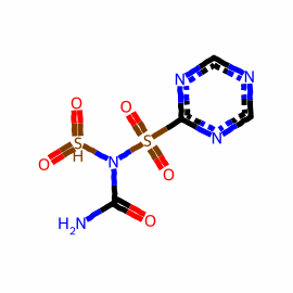 NC(=O)N([SH](=O)=O)S(=O)(=O)c1ncncn1